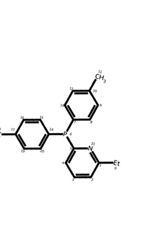 CCc1cccc(P(c2ccc(C)cc2)c2ccc(C)cc2)n1